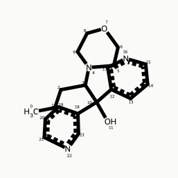 CCCC(N1CCOCC1)C(O)(c1cccnc1)c1cccnc1